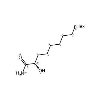 CCCCCC[CH]CCCCC[C@@H](O)C(N)=O